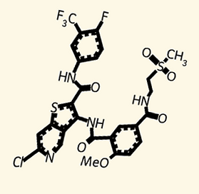 COc1ccc(C(=O)NCCS(C)(=O)=O)cc1C(=O)Nc1c(C(=O)Nc2ccc(F)c(C(F)(F)F)c2)sc2cc(Cl)ncc12